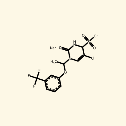 CC(Oc1cccc(C(F)(F)F)c1)N1C=C(Cl)C(S(=O)(=O)[O-])NC1=O.[Na+]